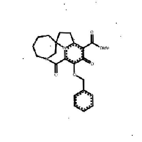 COC(=O)c1c2n3c(c(OCc4ccccc4)c1=O)C(=O)N1CCCCC3(CC2)C1